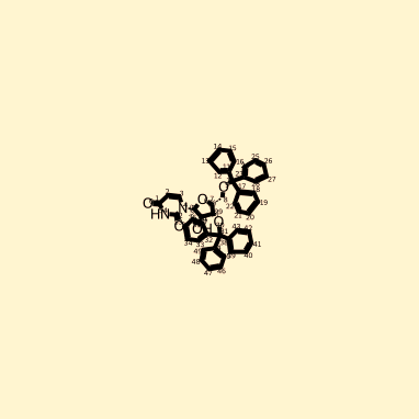 O=c1ccn([C@@H]2O[C@H](COC(c3ccccc3)(c3ccccc3)c3ccccc3)[C@@H](OC(c3ccccc3)(c3ccccc3)c3ccccc3)[C@H]2O)c(=O)[nH]1